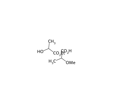 CCOC(=O)C(C)O.COC(C)C(=O)O